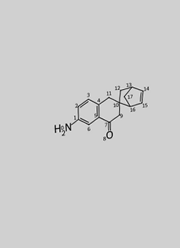 Nc1ccc2c(c1)C(=O)CC1(C2)CC2C=CC1C2